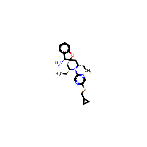 CC[C@@H]1C[C@@]2(C[C@H](CC)N1c1cnc(SCC3CC3)cn1)Oc1ccccc1[C@H]2N